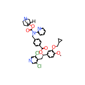 COc1ccc([C@@H](Cc2c(Cl)cncc2Cl)OC(=O)c2ccc(CN(C(=O)O[C@H]3CN4CCC3CC4)c3ccccn3)cc2)cc1OCC1CC1